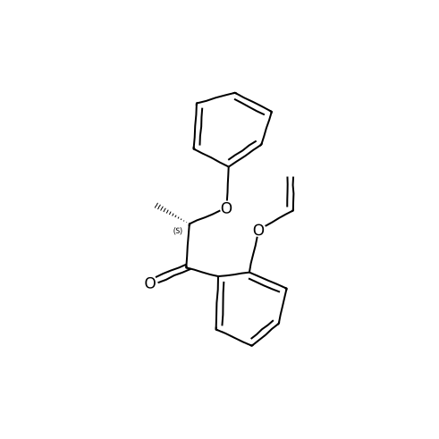 C=COc1ccccc1C(=O)[C@H](C)Oc1ccccc1